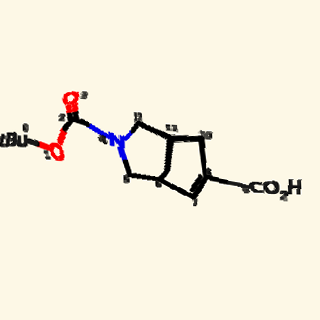 CC(C)(C)OC(=O)N1CC2C=C(C(=O)O)CC2C1